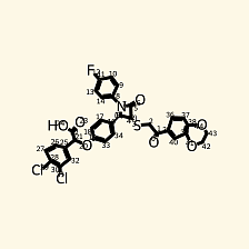 O=C(CS[C@H]1C(=O)N(c2ccc(F)cc2)[C@@H]1c1ccc(OC(C(=O)O)c2ccc(Cl)c(Cl)c2)cc1)c1ccc2c(c1)OCCO2